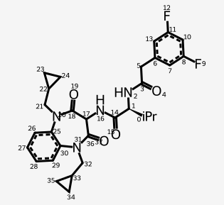 CC(C)[C@H](NC(=O)Cc1cc(F)cc(F)c1)C(=O)NC1C(=O)N(CC2CC2)c2ccccc2N(CC2CC2)C1=O